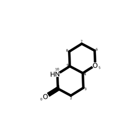 O=C1CCC2OCCCC2N1